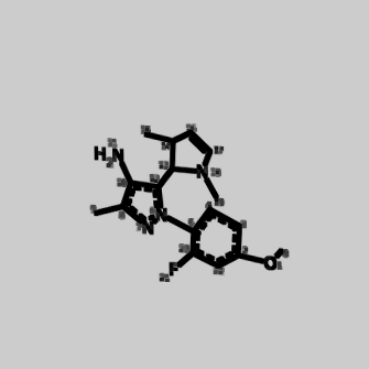 COc1ccc(-n2nc(C)c(N)c2C2C(C)C=CN2C)c(F)c1